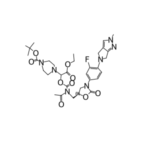 CCOC(=O)C(OC(=O)N(C[C@H]1CN(c2ccc(N3Cc4cn(C)nc4C3)c(F)c2)C(=O)O1)C(C)=O)N1CCN(C(=O)OC(C)(C)C)CC1